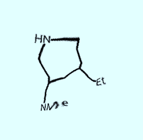 CCC1CNCC1NC